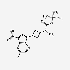 CN(C(=O)OC(C)(C)C)C1CC(n2cc(C(=O)O)c3cc(F)cnc32)C1